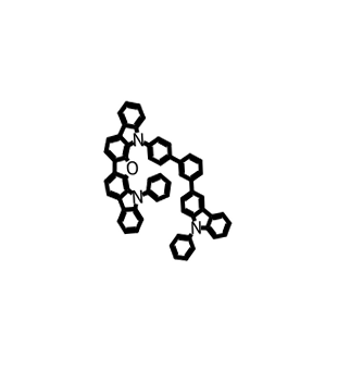 c1ccc(-n2c3ccccc3c3cc(-c4cccc(-c5ccc(-n6c7ccccc7c7ccc8c9ccc%10c%11ccccc%11n(-c%11ccccc%11)c%10c9oc8c76)cc5)c4)ccc32)cc1